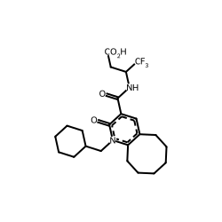 O=C(O)CC(NC(=O)c1cc2c(n(CC3CCCCC3)c1=O)CCCCCC2)C(F)(F)F